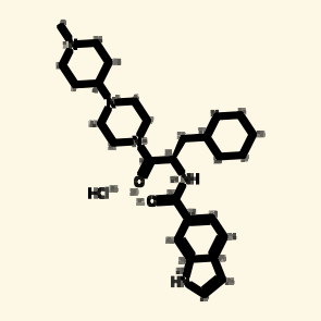 CN1CCC(N2CCN(C(=O)[C@@H](CC3CCCCC3)NC(=O)c3ccc4cc[nH]c4c3)CC2)CC1.Cl